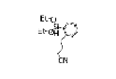 CCO[SiH](OCC)c1ccccc1CCCC#N